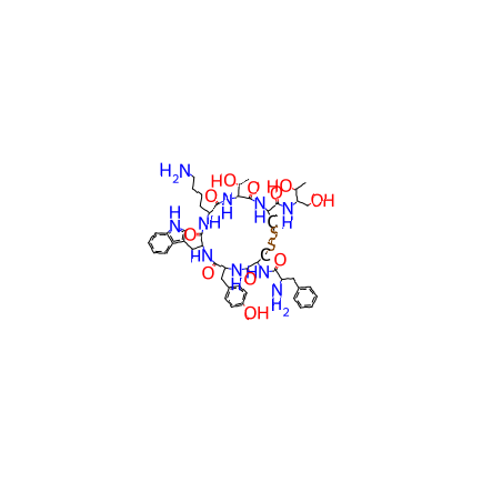 CC(O)C(CO)NC(=O)C1CSSCC(NC(=O)C(N)Cc2ccccc2)C(=O)NC(Cc2ccc(O)cc2)C(=O)NC(Cc2c[nH]c3ccccc23)C(=O)NC(CCCCN)C(=O)NC(C(C)O)C(=O)N1